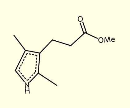 COC(=O)CCc1c(C)c[nH]c1C